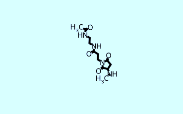 CNC1CC(=O)N(CCC(=O)NCCNC(C)=O)C1=O